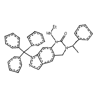 CCNN1C(=O)N(C(C)c2ccccc2)Cc2cc3cnn(C(c4ccccc4)(c4ccccc4)c4ccccc4)c3cc21